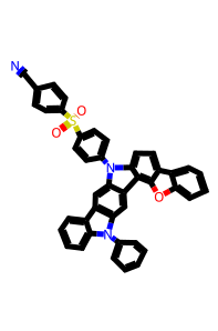 N#Cc1ccc(S(=O)(=O)c2ccc(-n3c4cc5c6ccccc6n(-c6ccccc6)c5cc4c4c5oc6ccccc6c5ccc43)cc2)cc1